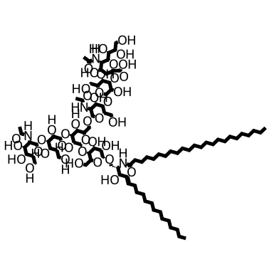 CCCCCCCCCCCCC/C=C/[C@@H](O)[C@H](CO[C@@H]1OC(CO)[C@@H](O[C@@H]2OC(CO[C@@H]3OC(CO)[C@@H](O[C@@H]4OC(CO)[C@H](O)[C@H](O[C@]5(C(=O)O)CC(O)[C@@H](NC(C)=O)C([C@H](O)[C@H](O)CO)O5)C4O)[C@H](O)C3NC(C)=O)[C@H](O)[C@H](O[C@H]3OC(CO)[C@H](O)[C@H](O[C@@H]4OC(CO)[C@H](O)[C@H](O)C4NC(C)=O)C3O)C2O)[C@H](O)C1O)NC(=O)CCCCCCCCCCCCCCCCCCCCCCC